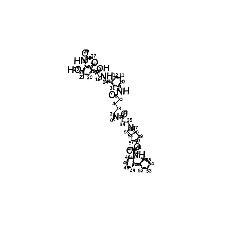 CN(CCCCC(=O)Nc1cccc(CNC[C@H](O)c2ccc(O)c3c2OCC(=O)N3)c1)C(=O)CCN1CC2CC(OC(=O)Nc3ccccc3-c3ccccc3)CC2C1